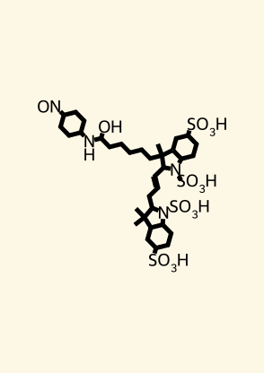 CC1(C)C2CC(S(=O)(=O)O)CCC2N(S(=O)(=O)O)C1C/C=C/C1N(S(=O)(=O)O)C2CCC(S(=O)(=O)O)CC2C1(C)CCCCCC(O)NC1CCC(N=O)CC1